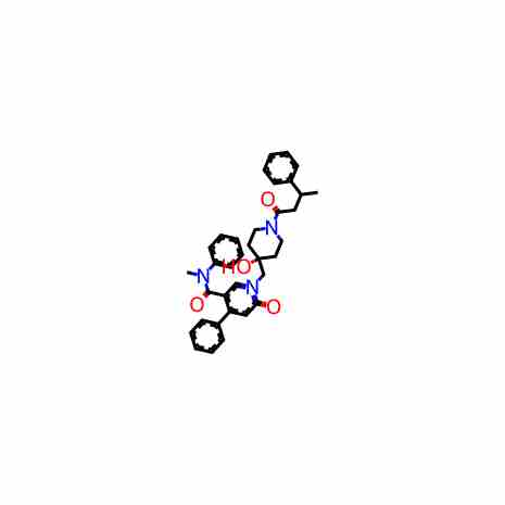 CC(CC(=O)N1CCC(O)(Cn2cc(C(=O)N(C)c3ccccc3)c(-c3ccccc3)cc2=O)CC1)c1ccccc1